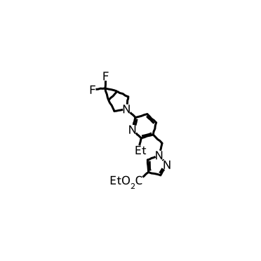 CCOC(=O)c1cnn(Cc2ccc(N3CC4C(C3)C4(F)F)nc2CC)c1